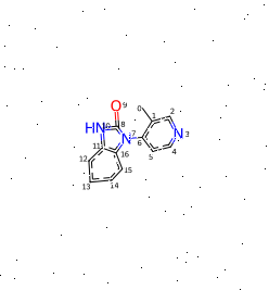 Cc1cnccc1-n1c(=O)[nH]c2ccccc21